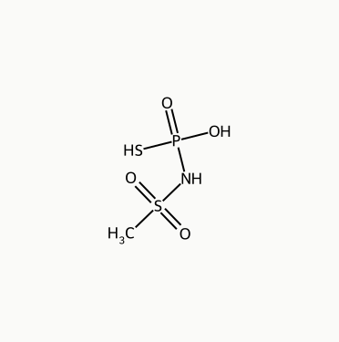 CS(=O)(=O)NP(=O)(O)S